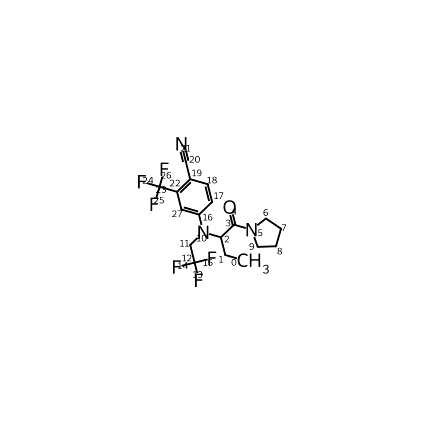 CCC(C(=O)N1CCCC1)N(CC(F)(F)F)c1ccc(C#N)c(C(F)(F)F)c1